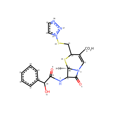 O=C(O)C1=CN2C(=O)C(NC(=O)C(O)c3ccccc3)[C@H]2SC1CSn1ccnn1